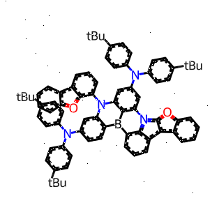 CC(C)(C)c1ccc(N(c2ccc(C(C)(C)C)cc2)c2ccc3c(c2)N(c2cccc4c2oc2ccccc24)c2cc(N(c4ccc(C(C)(C)C)cc4)c4ccc(C(C)(C)C)cc4)cc4c2B3c2cccc3c5c6ccccc6oc5n-4c23)cc1